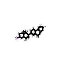 IC1CC[C@H]2CC(C3=CCC4C(=C3)CCC3CCC=CC34)C=CC2C1